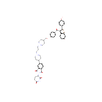 O=C1CCC(N2C(=O)c3ccc(C4CCN(CCCN5CCC(COc6ccc(C(=O)c7c(-c8ccc(O)cc8)sc8cc(O)ccc78)cc6)CC5)CC4)cc3C2=O)C(=O)N1